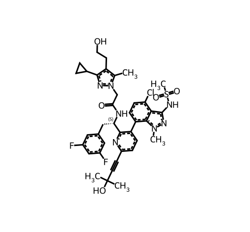 Cc1c(CCO)c(C2CC2)nn1CC(=O)N[C@@H](Cc1cc(F)cc(F)c1)c1nc(C#CC(C)(C)O)ccc1-c1ccc(Cl)c2c(NS(C)(=O)=O)nn(C)c12